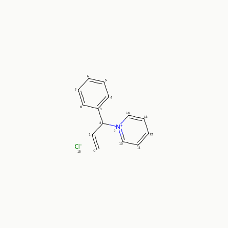 C=CC(c1ccccc1)[n+]1ccccc1.[Cl-]